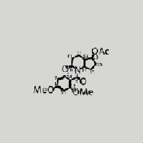 COc1ccc(C(=O)N2C(=O)CCC3C(OC(C)=O)CCC32)c(OC)c1